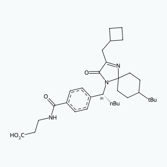 CCCC[C@H](c1ccc(C(=O)NCCC(=O)O)cc1)N1C(=O)C(CC2CCC2)=NC12CCC(C(C)(C)C)CC2